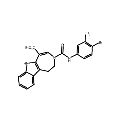 CCOC(=O)C1=CN(C(=O)Nc2ccc(Br)c(C)c2)CCc2c1[nH]c1ccccc21